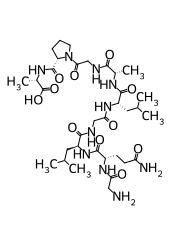 CC(C)C[C@H](NC(=O)CNC(=O)[C@H](CC(C)C)NC(=O)[C@H](CCC(N)=O)NC(=O)CN)C(=O)N[C@@H](C)C(=O)NCC(=O)N1CCC[C@H]1C(=O)N[C@@H](C)C(=O)O